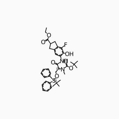 CCOC(=O)C1Cc2cc(NC(=O)[C@H](CO[Si](c3ccccc3)(c3ccccc3)C(C)(C)C)N(C)C(=O)OC(C)(C)C)c(O)c(F)c2C1